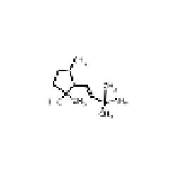 CC1CCC(C)(C)C1C=CC(C)(C)N